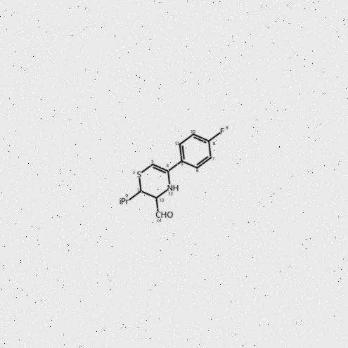 CC(C)C1SC=C(c2ccc(F)cc2)NC1C=O